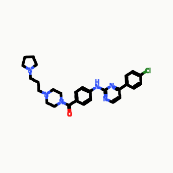 O=C(c1ccc(Nc2nccc(-c3ccc(Cl)cc3)n2)cc1)N1CCN(CCCN2CCCC2)CC1